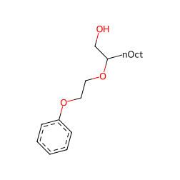 CCCCCCCCC(CO)OCCOc1ccccc1